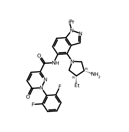 CC[C@@H]1CN(c2c(NC(=O)c3ccc(=O)n(-c4c(F)cccc4F)n3)ccc3c2cnn3C(C)C)C[C@@H]1N